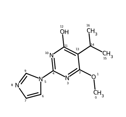 COc1nc(-n2ccnc2)nc(O)c1C(C)C